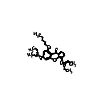 CCCCCOc1cc(ON(CC)CC)cc2oc3c(ON(CC)CC)cccc3c(=O)c12